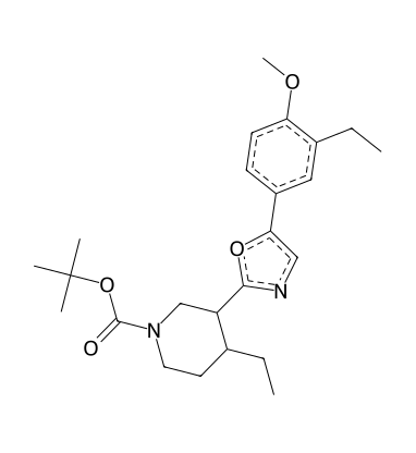 CCc1cc(-c2cnc(C3CN(C(=O)OC(C)(C)C)CCC3CC)o2)ccc1OC